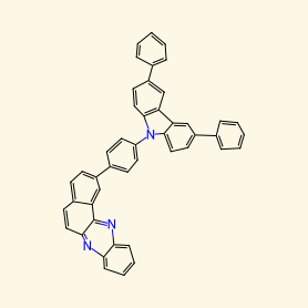 c1ccc(-c2ccc3c(c2)c2cc(-c4ccccc4)ccc2n3-c2ccc(-c3ccc4ccc5nc6ccccc6nc5c4c3)cc2)cc1